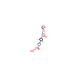 O=C(OCCO)N1CC=C(c2c(F)cc(N3CC(COc4ccon4)OC3=O)cc2F)CC1